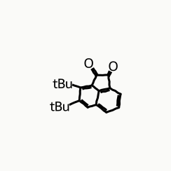 CC(C)(C)c1cc2cccc3c2c(c1C(C)(C)C)C(=O)C3=O